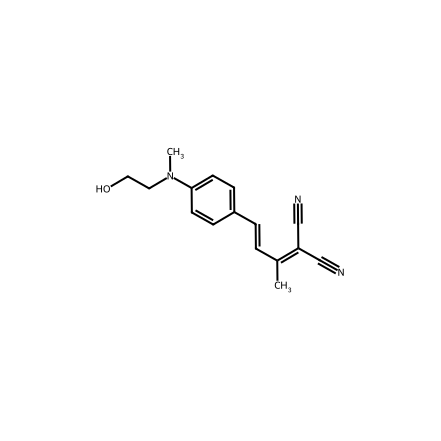 CC(/C=C/c1ccc(N(C)CCO)cc1)=C(C#N)C#N